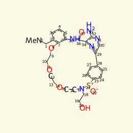 CNCc1cccc2c1OCCOCCOCCN(CCO)[S+]([O-])c1ccc(cc1)-c1cnc(N)c(n1)C(=O)N2